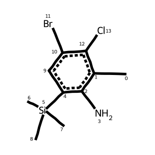 Cc1c(N)c([Si](C)(C)C)cc(Br)c1Cl